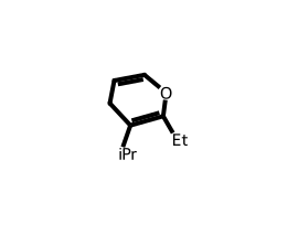 CCC1=C(C(C)C)CC=CO1